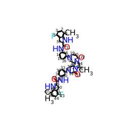 Cc1ccc(F)c2c1NC(C(=O)Nc1cccc(N3CCC(=O)N(CC(C)N4CCN(c5cccc(NC(=O)C6Cc7c(F)ccc(C)c7N6)c5)CC4=O)CC3)c1)C2